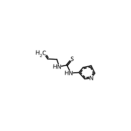 C=CCNC(=S)Nc1cccnc1